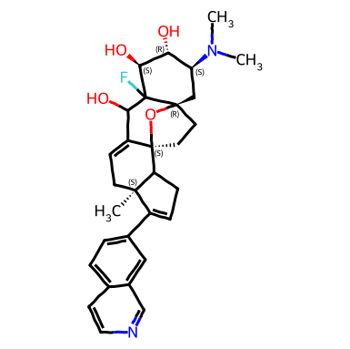 CN(C)[C@H]1C[C@@]23CC[C@@]4(O2)C(=CC[C@]2(C)C(c5ccc6ccncc6c5)=CCC24)C(O)C3(F)[C@@H](O)[C@@H]1O